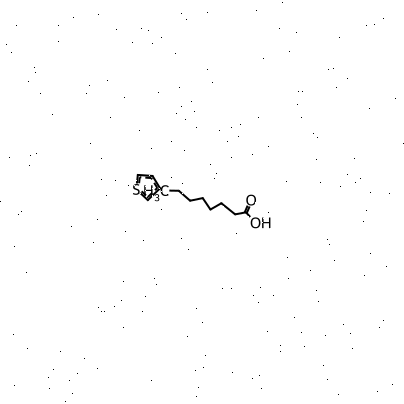 CCCCCCCC(=O)O.c1ccsc1